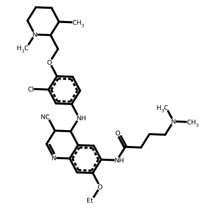 CCOc1cc2c(cc1NC(=O)CCCN(C)C)C(Nc1ccc(OCC3C(C)CCCN3C)c(Cl)c1)C(C#N)C=N2